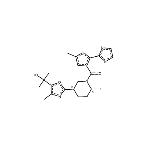 Cc1cc(C(=O)N2C[C@H](c3nc(C)c(C(C)(C)O)o3)CC[C@H]2C)c(-n2nccn2)s1